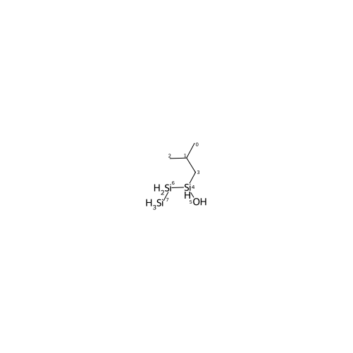 CC(C)C[SiH](O)[SiH2][SiH3]